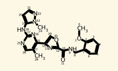 COc1ccccc1CNC(=O)c1nc(-c2nc(Nc3ccnn3C)ncc2C)co1